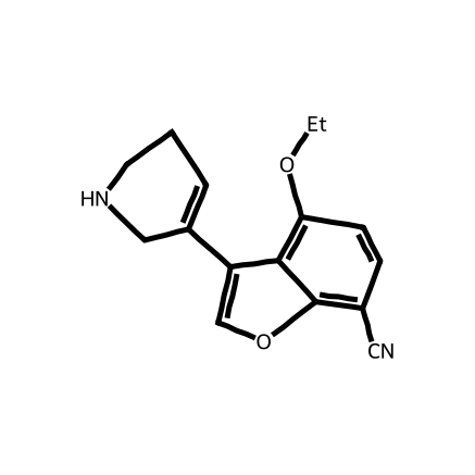 CCOc1ccc(C#N)c2occ(C3=CCCNC3)c12